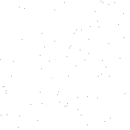 Cc1cc(F)ccc1N1CN(c2cccnc2)C(=O)c2ccc(C(F)(F)F)cc21